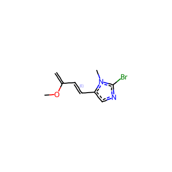 C=C(/C=C/c1cnc(Br)n1C)OC